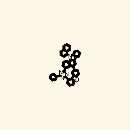 c1ccc(-c2nc(-c3ccccc3)nc(-c3cccc4oc5ccc(-c6ccc7c(c6)c6ccccc6n7-c6cccc7ccccc67)cc5c34)n2)cc1